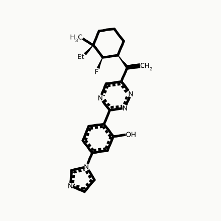 C=C(c1cnc(-c2ccc(-n3ccnc3)cc2O)nn1)[C@@H]1CCC[C@](C)(CC)[C@@H]1F